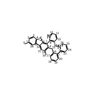 Cc1ccc2sc3c(-c4ccccn4)c(Cc4ccccc4-c4cccc[n+]4C)c(C)cc3c2c1